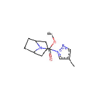 Cc1cnn(C2CC3CCC(C2)N3C(=O)OC(C)(C)C)c1